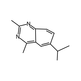 Cc1nc(C)c2cc(C(C)C)ccc2n1